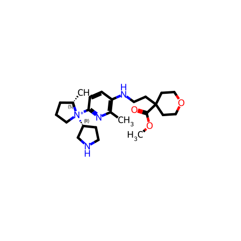 COC(=O)C1(CCNc2ccc([N+]3([C@@H]4CCNC4)CCC[C@@H]3C)nc2C)CCOCC1